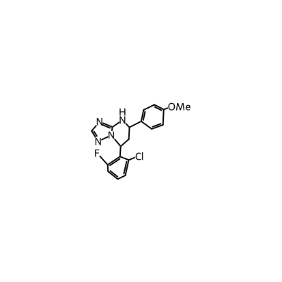 COc1ccc(C2CC(c3c(F)cccc3Cl)n3ncnc3N2)cc1